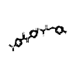 CN(C)c1ccc(C(=O)Nc2ccc(NC(=S)NCCc3ccc(F)cc3)cc2)cc1